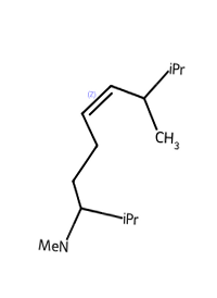 CNC(CC/C=C\C(C)C(C)C)C(C)C